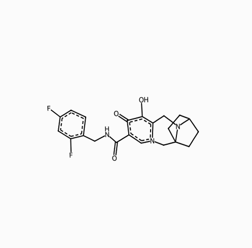 O=C(NCc1ccc(F)cc1F)c1cn2c(c(O)c1=O)CN1C3CCC1(CC3)C2